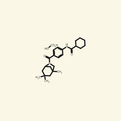 CC1(C)CC2CC(C)(CN2C(=O)c2ccc(NC(=O)C3CCCCC3)cc2)C1.O=C(O)O